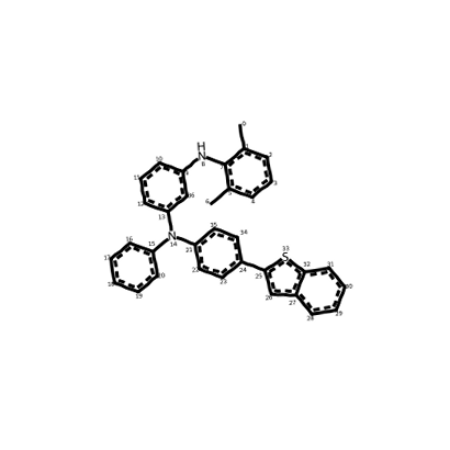 Cc1cccc(C)c1Nc1cccc(N(c2ccccc2)c2ccc(-c3cc4ccccc4s3)cc2)c1